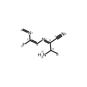 C=N/C(F)=C\N=C(\C#N)C(C)N